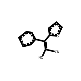 N#CC(C#N)=C(c1ccccc1)c1cccs1